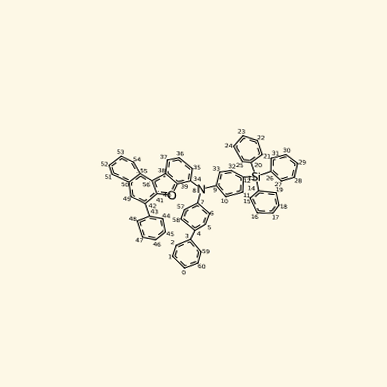 c1ccc(-c2ccc(N(c3ccc([Si](c4ccccc4)(c4ccccc4)c4ccccc4)cc3)c3cccc4c3oc3c(-c5ccccc5)cc5ccccc5c34)cc2)cc1